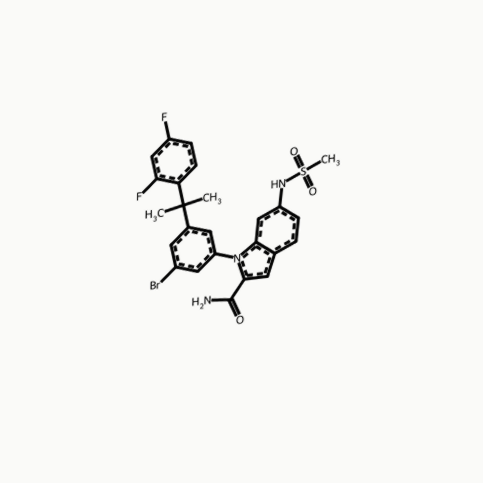 CC(C)(c1cc(Br)cc(-n2c(C(N)=O)cc3ccc(NS(C)(=O)=O)cc32)c1)c1ccc(F)cc1F